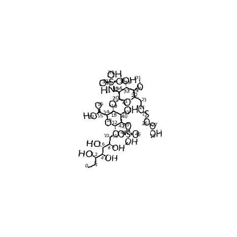 CCC(O)[C@H](O)[C@H](O)C(O)CO[C@@H]1OC(C(=O)O)[C@H](O[C@@H]2OC(COSOOO)[C@H](OC)[C@@H](O)C2NS(=O)(=O)O)[C@@H](O)C1OS(=O)(=O)O